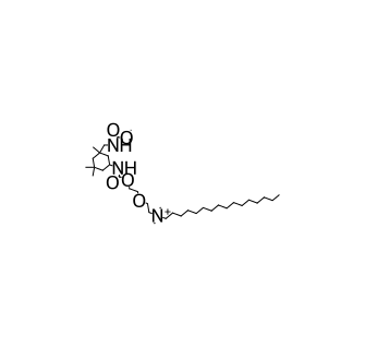 CCCCCCCCCCCCCCCC[N+](C)(C)CCOCCOC(=O)NC1CC(C)(C)CC(C)(CNC(=O)OC)C1